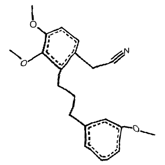 COc1cccc(CCCc2c(CC#N)ccc(OC)c2OC)c1